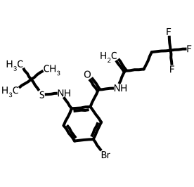 C=C(CCC(F)(F)F)NC(=O)c1cc(Br)ccc1NSC(C)(C)C